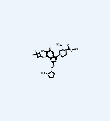 CN1CCC[C@H]1COc1nc(N2CCN(C(=O)OC(C)(C)C)[C@@H](CC#N)C2)c2cc(Cl)c(Br)c(OC3CC(F)(F)C3)c2n1